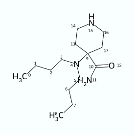 CCCCN(CCCC)C1(C(N)=O)CCNCC1